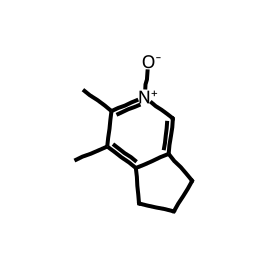 Cc1c2c(c[n+]([O-])c1C)CCC2